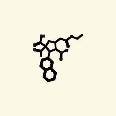 CCOC(=O)CC1CC(C(C)=O)(C(=O)O)C(c2ccc3ccccc3c2)C1[N+](=O)[O-]